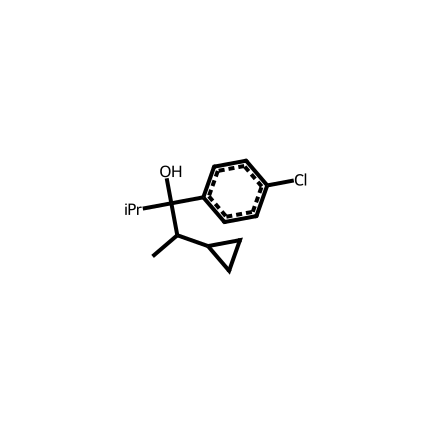 CC(C)C(O)(c1ccc(Cl)cc1)C(C)C1CC1